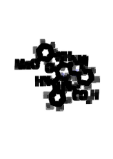 COc1cccc(NC(C(=N)/C=C2/C=CC=CN2)C(=O)/C(=C/NCC(=O)O)C(=N)c2ccccc2)c1